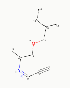 C#C/C=N\C(C)COCC(C)CC